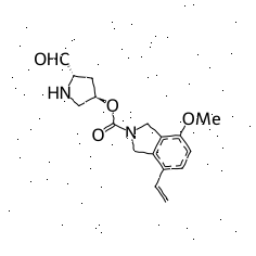 C=Cc1ccc(OC)c2c1CN(C(=O)O[C@H]1CN[C@H](C=O)C1)C2